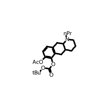 CCCN1CCCC2Cc3c(ccc(OC(C)=O)c3OC(=O)OC(C)(C)C)CC21